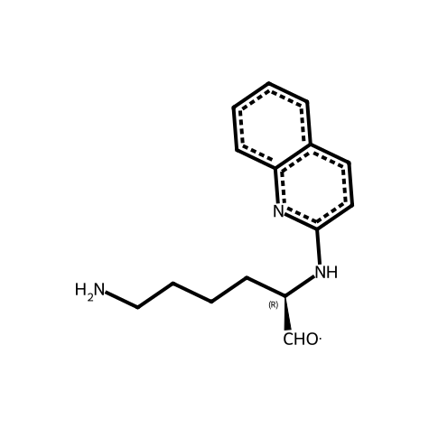 NCCCC[C@H]([C]=O)Nc1ccc2ccccc2n1